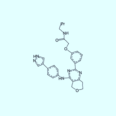 CC(C)CNC(=O)COc1cccc(-c2nc3c(c(Nc4ccc(-c5cn[nH]c5)cc4)n2)COCC3)c1